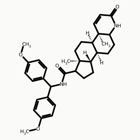 COc1ccc(C(NC(=O)C2CC[C@H]3[C@@H]4CCC5NC(=O)C=C[C@]5(C)[C@@H]4CC[C@]23C)c2ccc(OC)cc2)cc1